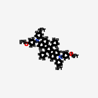 CC(C)Oc1ccc(N(c2ccc(C(C)C)cc2)c2ccc3c4c(-c5ccccc5)c5c6cccc7c(N(c8ccc(OC(C)C)cc8)c8ccc(C(C)C)cc8)ccc(c5c(-c5ccccc5)c4c4cccc2c43)c76)cc1